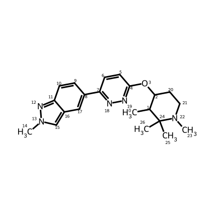 CC1C(Oc2ccc(-c3ccc4nn(C)cc4c3)nn2)CCN(C)C1(C)C